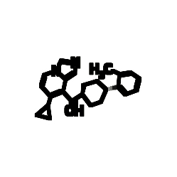 Cc1ccccc1[C@H]1CC[C@H]([C@H](O)c2c(C3CC3)ccn3cncc23)CC1